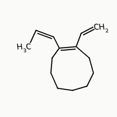 C=C/C1=C(\C=C/C)CCCCCCC1